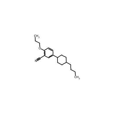 CCCCC1CCC(c2ccc(OCCC)c(C#N)c2)CC1